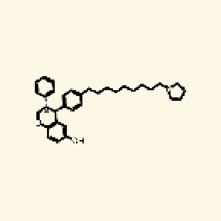 Oc1ccc2c(c1)C(c1ccc(CCCCCCCCCN3CCCC3)cc1)[C@@H](c1ccccc1)CO2